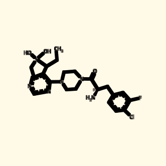 CCC1c2c(ncnc2N2CCN(C(=O)[C@H](N)Cc3ccc(Cl)c(F)c3)CC2)CS1(O)O